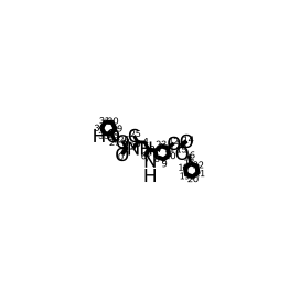 O=C(NC(Cc1c[nH]c2ccc(OC(=O)OCc3ccccc3)cc12)C(=O)O)OCc1ccccc1